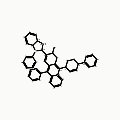 CC1Cc2c(c(-c3ccccc3)c3ccccc3c2C2C=CC(c3ccccc3)CC2)C=C1C1NC2C=CC=CC2N1c1ccccc1